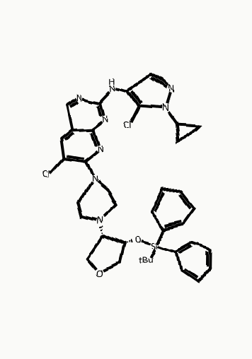 CC(C)(C)[Si](O[C@@H]1COC[C@@H]1N1CCN(c2nc3nc(Nc4cnn(C5CC5)c4Cl)ncc3cc2Cl)CC1)(c1ccccc1)c1ccccc1